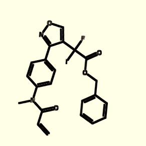 C=CC(=O)N(C)c1ccc(-c2nocc2C(F)(I)C(=O)OCc2ccccc2)cc1